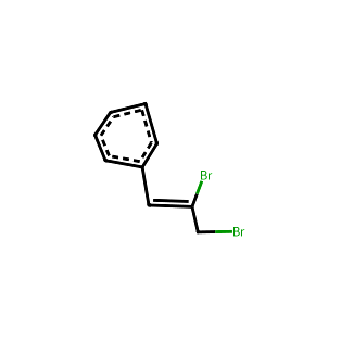 BrC/C(Br)=C/c1ccccc1